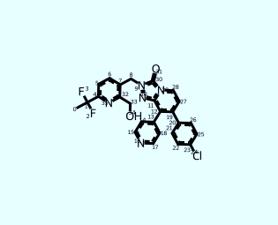 CC(F)(F)c1ccc(Cn2nc3c(-c4ccncc4)c(-c4ccc(Cl)cc4)ccn3c2=O)c(CO)n1